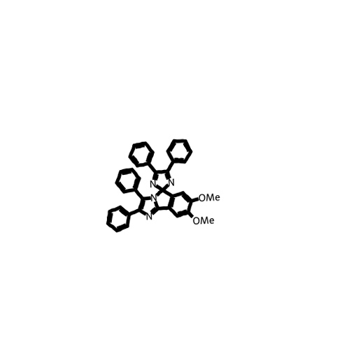 COc1cc2c(cc1OC)C1(N=C(c3ccccc3)C(c3ccccc3)=N1)n1c-2nc(-c2ccccc2)c1-c1ccccc1